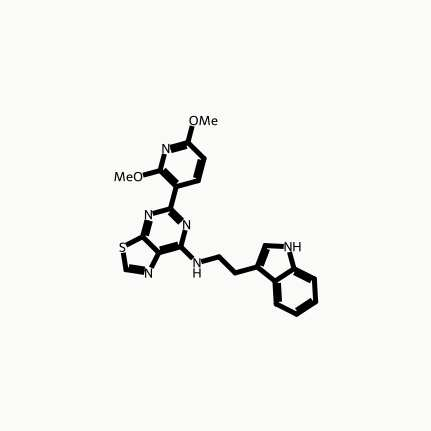 COc1ccc(-c2nc(NCCc3c[nH]c4ccccc34)c3ncsc3n2)c(OC)n1